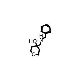 OC1(CNCc2ccccc2)CCOCC1